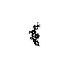 CN1CCC2(CC1)CC(C(=S)N(Cc1ccc(-c3nnc(C(F)F)o3)cc1F)c1ccccc1)C2